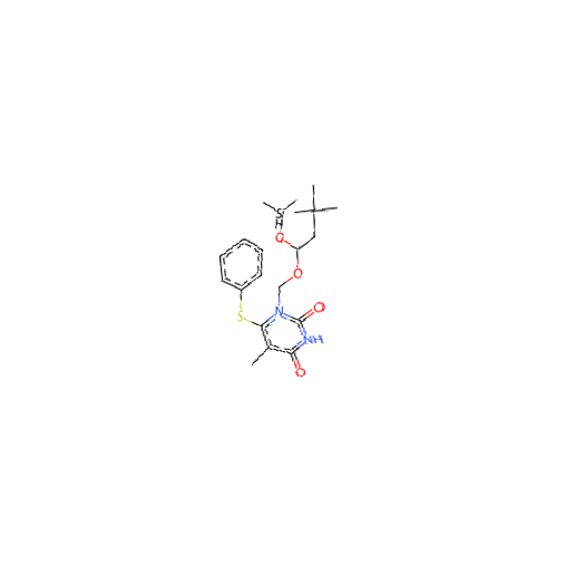 Cc1c(Sc2ccccc2)n(COC(CC(C)(C)C)O[SiH](C)C)c(=O)[nH]c1=O